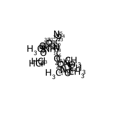 CCN1C(=O)C(C)(C)C(=O)N(C)c2cc(OCCCN(CCc3cccnc3)Cc3ccccc3NS(C)(=O)=O)ccc21.Cl.Cl